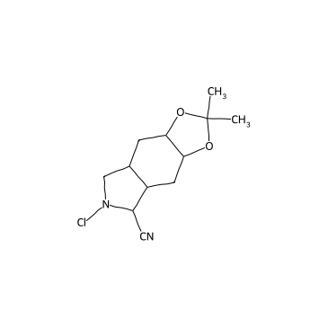 CC1(C)OC2CC3CN(Cl)C(C#N)C3CC2O1